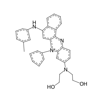 Cc1cccc(Nc2cc3c(nc4ccc(N(CCO)CCO)cc4[n+]3-c3ccccc3)c3ccccc23)c1